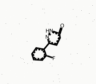 O=c1ccc(-c2ccccc2F)n[nH]1